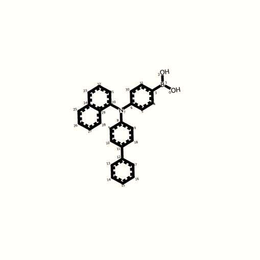 OB(O)c1ccc(N(c2ccc(-c3ccccc3)cc2)c2cccc3ccccc23)cc1